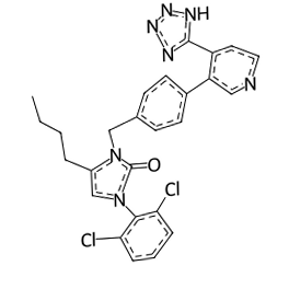 CCCCc1cn(-c2c(Cl)cccc2Cl)c(=O)n1Cc1ccc(-c2cnccc2-c2nnn[nH]2)cc1